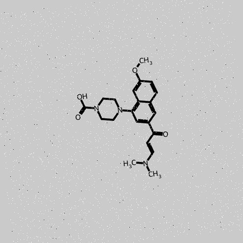 COc1ccc2cc(C(=O)/C=C/N(C)C)cc(N3CCN(C(=O)O)CC3)c2c1